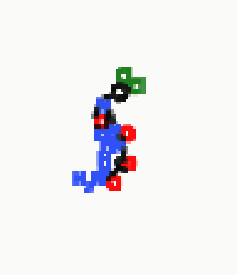 NNC(=O)c1coc(CNC(=O)NC[C@H]2CN(Cc3ccc(Cl)c(Cl)c3)CCO2)c1